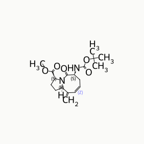 C=C1/C=C\C[C@H](NC(=O)OC(C)(C)C)C(=O)N2[C@@H]1CC[C@H]2C(=O)OC